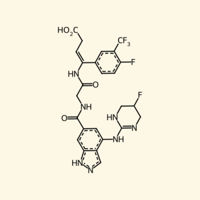 O=C(O)C/C=C(/NC(=O)CNC(=O)c1cc(NC2=NCC(F)CN2)c2cn[nH]c2c1)c1ccc(F)c(C(F)(F)F)c1